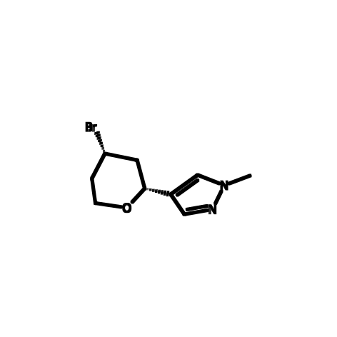 Cn1cc([C@H]2C[C@@H](Br)CCO2)cn1